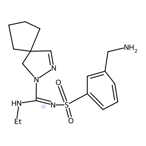 CCN/C(=N/S(=O)(=O)c1cccc(CN)c1)N1CC2(C=N1)CCCC2